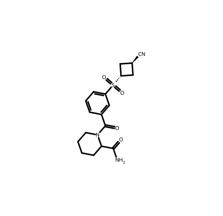 N#C[C@H]1C[C@H](S(=O)(=O)c2cccc(C(=O)N3CCCCC3C(N)=O)c2)C1